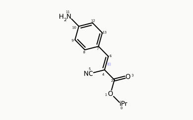 CC(C)OC(=O)/C(C#N)=C/c1ccc(N)cc1